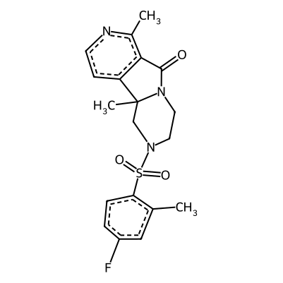 Cc1cc(F)ccc1S(=O)(=O)N1CCN2C(=O)c3c(ccnc3C)C2(C)C1